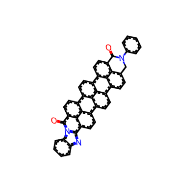 O=C1c2ccc3c4ccc5c6ccc7c(=O)n8c9ccccc9nc8c8ccc(c9ccc(c%10ccc(c2c3%10)CN1c1ccccc1)c4c59)c6c78